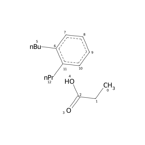 CCC(=O)O.CCCCc1ccccc1CCC